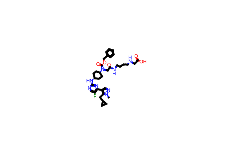 Cn1ncc(-c2nc(N[C@H]3CC[C@H](N(CC(=O)NCCCCNCC(=O)O)C(=O)OCc4ccccc4)CC3)ncc2F)c1CC1CC1